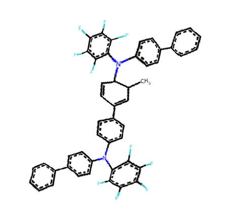 CC1C=C(c2ccc(N(c3ccc(-c4ccccc4)cc3)c3c(F)c(F)c(F)c(F)c3F)cc2)C=CC1N(c1ccc(-c2ccccc2)cc1)c1c(F)c(F)c(F)c(F)c1F